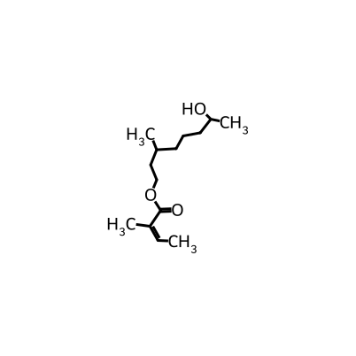 CC=C(C)C(=O)OCCC(C)CCCC(C)O